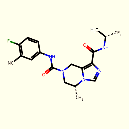 C[C@@H]1CN(C(=O)Nc2ccc(F)c(C#N)c2)Cc2c(C(=O)N[C@H](C)C(F)(F)F)ncn21